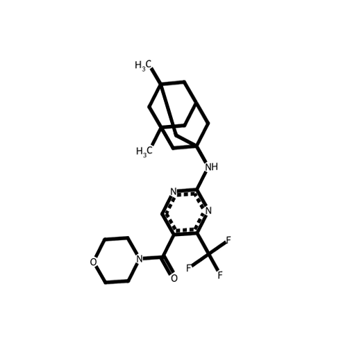 CC12CC3CC(C)(C1)CC(Nc1ncc(C(=O)N4CCOCC4)c(C(F)(F)F)n1)(C3)C2